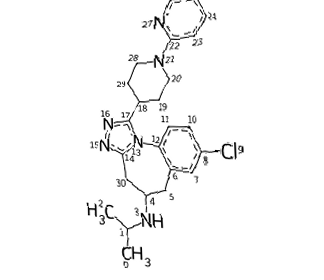 CC(C)NC1Cc2cc(Cl)ccc2-n2c(nnc2C2CCN(c3ccccn3)CC2)C1